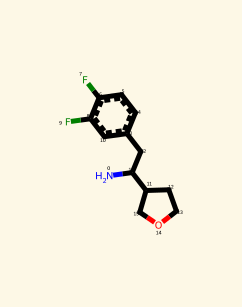 NC(Cc1ccc(F)c(F)c1)C1CCOC1